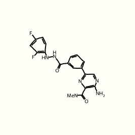 CNC(=O)c1nc(-c2cccc(C(=O)NNc3ccc(F)cc3F)c2)cnc1N